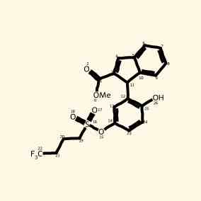 COC(=O)C1=Cc2ccccc2C1c1cc(OS(=O)(=O)CCCC(F)(F)F)ccc1O